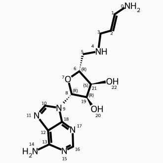 NC=CCNC[C@H]1O[C@@H](n2cnc3c(N)ncnc32)[C@H](O)[C@@H]1O